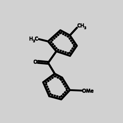 COc1cccc(C(=O)c2ccc(C)cc2C)c1